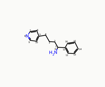 NC(CCCc1ccncc1)c1ccccc1